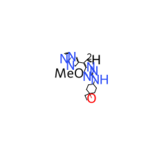 [2H]c1cc(-c2cnc3nccn3c2)c2c(OC)nc(NC3CCC4(CCO4)CC3)nn12